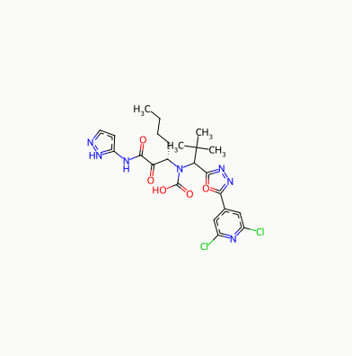 CCCC[C@@H](C(=O)C(=O)Nc1ccn[nH]1)N(C(=O)O)C(c1nnc(-c2cc(Cl)nc(Cl)c2)o1)C(C)(C)C